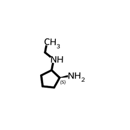 CCNC1CCC[C@@H]1N